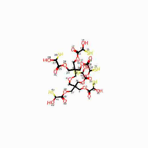 O=C(OCC(COCC(COC(=O)C(O)S)(COC(=O)C(O)S)COC(=O)C(O)S)(COC(=O)C(O)S)COC(=O)C(O)S)C(O)S